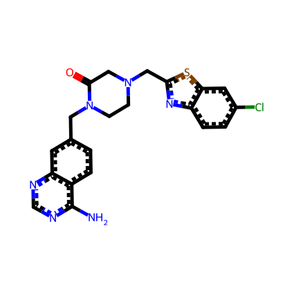 Nc1ncnc2cc(CN3CCN(Cc4nc5ccc(Cl)cc5s4)CC3=O)ccc12